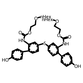 CCCCCCOCCOC(=O)Nc1cc(Sc2ccc(-c3ccc(O)cc3)c(NC(=O)OCCOCCCCCC)c2)ccc1-c1ccc(O)cc1